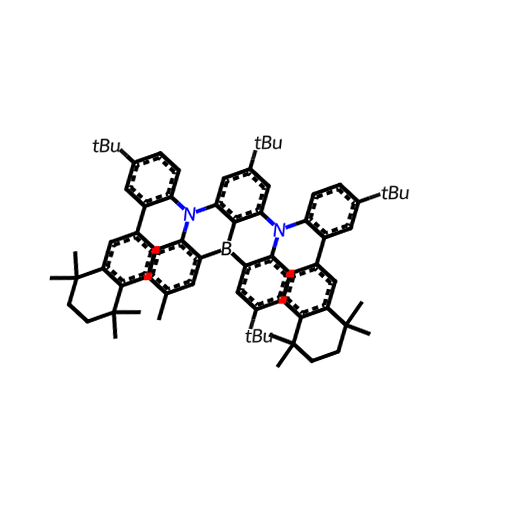 Cc1ccc2c(c1)B1c3cc(C(C)(C)C)ccc3N(c3ccc(C(C)(C)C)cc3-c3ccc4c(c3)C(C)(C)CCC4(C)C)c3cc(C(C)(C)C)cc(c31)N2c1ccc(C(C)(C)C)cc1-c1ccc2c(c1)C(C)(C)CCC2(C)C